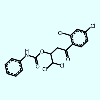 O=C(Nc1ccccc1)OC(CC(=O)c1ccc(Cl)cc1Cl)C(Cl)Cl